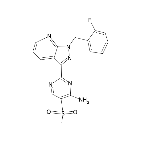 CS(=O)(=O)c1cnc(-c2nn(Cc3ccccc3F)c3ncccc23)nc1N